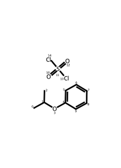 CC(C)Oc1ccccc1.O=S(=O)(Cl)Cl